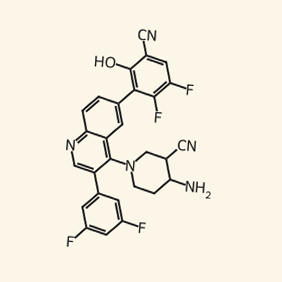 N#Cc1cc(F)c(F)c(-c2ccc3ncc(-c4cc(F)cc(F)c4)c(N4CCC(N)C(C#N)C4)c3c2)c1O